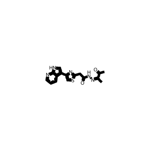 CC(=O)C(C)=NNC(=O)Cc1nc(-c2c[nH]c3ncccc23)cs1